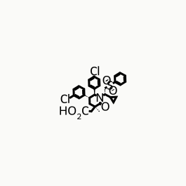 C[C@]1(CC(=O)O)C[C@H](c2cccc(Cl)c2)[C@@H](c2ccc(Cl)cc2)N([C@H](CS(=O)(=O)c2ccccc2)C2CC2)C1=O